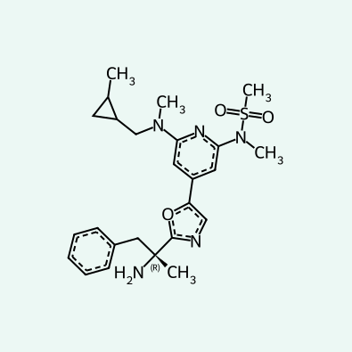 CC1CC1CN(C)c1cc(-c2cnc([C@](C)(N)Cc3ccccc3)o2)cc(N(C)S(C)(=O)=O)n1